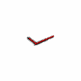 CCCCCCCCCCCCCCCC=CCCCCCCCCCC(C)CCCCCCCCCCCCC